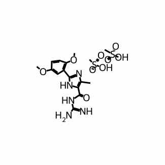 COc1ccc(OC)c(-c2nc(C)c(C(=O)NC(=N)N)[nH]2)c1.CS(=O)(=O)O.CS(=O)(=O)O